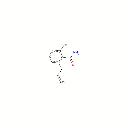 C=C[CH]c1cccc(Br)c1C(N)=O